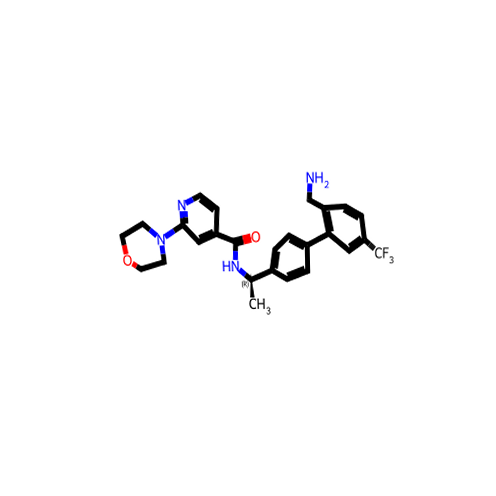 C[C@@H](NC(=O)c1ccnc(N2CCOCC2)c1)c1ccc(-c2cc(C(F)(F)F)ccc2CN)cc1